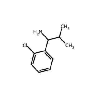 CC(C)C(N)c1ccccc1Cl